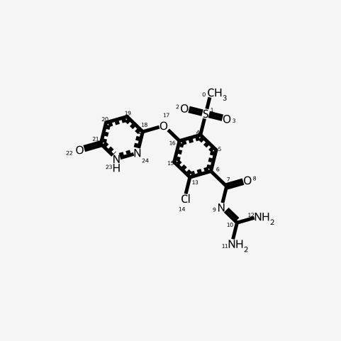 CS(=O)(=O)c1cc(C(=O)N=C(N)N)c(Cl)cc1Oc1ccc(=O)[nH]n1